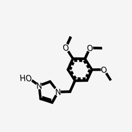 COc1cc(CN2C=CN(O)C2)cc(OC)c1OC